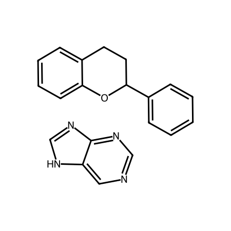 c1ccc(C2CCc3ccccc3O2)cc1.c1ncc2[nH]cnc2n1